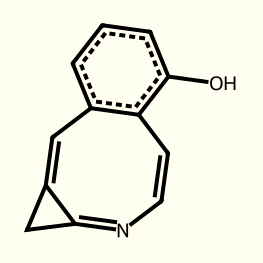 Oc1cccc2c1\C=C/N=C1/C/C1=C/2